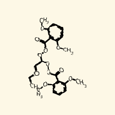 [CH2]COC[C](OOC(=O)c1c(OC)cccc1OC)OOC(=O)c1c(OC)cccc1OC